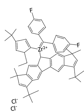 CCC1C=C(C(C)(C)C)C=[C]1[Zr+2](=[C](c1ccc(F)cc1)c1ccc(F)cc1)[CH]1c2cc3c(cc2-c2cc4c(cc21)C(C)(C)C=C4C(C)(C)C)C(C(C)(C)C)=CC3(C)C.[Cl-].[Cl-]